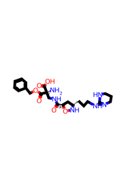 N[C@@](CNC(=O)[C@H]1C[C@H](CCCNC2=NCCCN2)NO1)(C(=O)O)C(=O)OCc1ccccc1